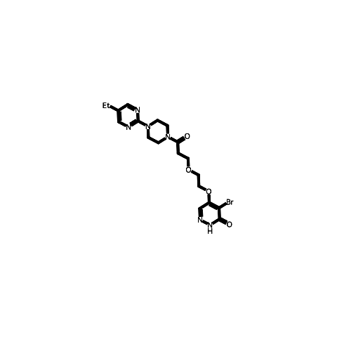 CCc1cnc(N2CCN(C(=O)CCOCCOc3cn[nH]c(=O)c3Br)CC2)nc1